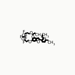 C=CC(=O)OCCC(F)(F)OC(F)(F)OC(F)(F)CCOc1ccc2cc(-c3ccc(CC)nc3CC)oc2c1